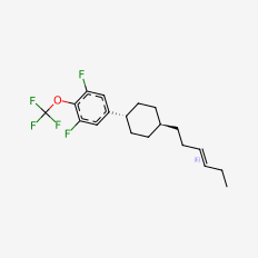 CC/C=C/CC[C@H]1CC[C@H](c2cc(F)c(OC(F)(F)F)c(F)c2)CC1